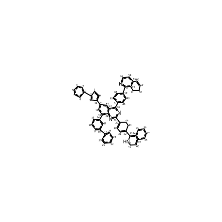 C1=CC(c2ccccc2)=CC=1c1cc(-c2cccc(-c3ccccc3)c2)c2nc(C3=CC=C(C4=c5ccccc5=CCN4)CC3)nc(-c3ccc(-c4nccc5c4CCC=C5)cc3)c2c1